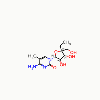 CC[C@]1(CO)O[C@@H](n2cc(C)c(N)nc2=O)[C@H](O)[C@@H]1O